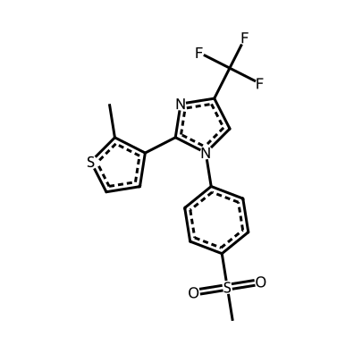 Cc1sccc1-c1nc(C(F)(F)F)cn1-c1ccc(S(C)(=O)=O)cc1